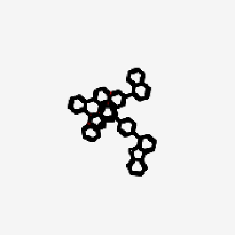 c1cc(-c2cccc3ccccc23)cc(N(c2ccc(-c3cccc4c3oc3ccccc34)cc2)c2ccccc2-c2ccccc2-c2ccccc2-n2c3ccccc3c3ccccc32)c1